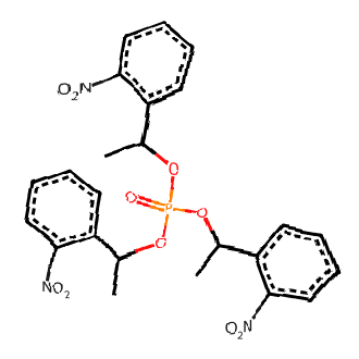 CC(OP(=O)(OC(C)c1ccccc1[N+](=O)[O-])OC(C)c1ccccc1[N+](=O)[O-])c1ccccc1[N+](=O)[O-]